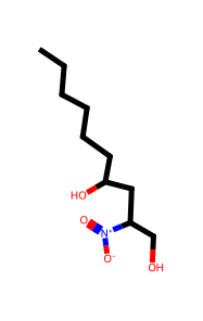 CCCCCCC(O)CC(CO)[N+](=O)[O-]